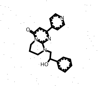 O=c1cc(-c2ccncc2)nc2n1CCCN2CC(O)c1ccccc1